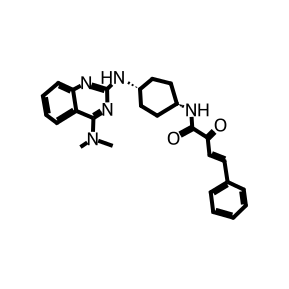 CN(C)c1nc(N[C@H]2CC[C@@H](NC(=O)C(=O)/C=C/c3ccccc3)CC2)nc2ccccc12